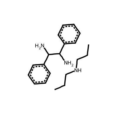 CCCNCCC.NC(c1ccccc1)C(N)c1ccccc1